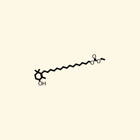 CCOC(=O)OCCCCCCCCCCCCCCCC1=C(C)C(O)CCC1(C)C